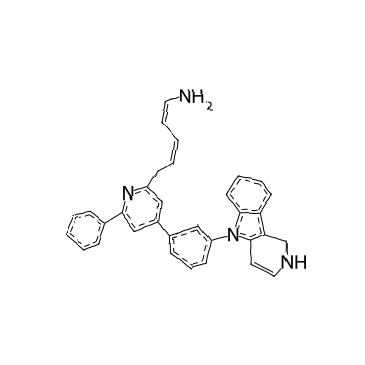 N/C=C\C=C/Cc1cc(-c2cccc(-n3c4c(c5ccccc53)CNC=C4)c2)cc(-c2ccccc2)n1